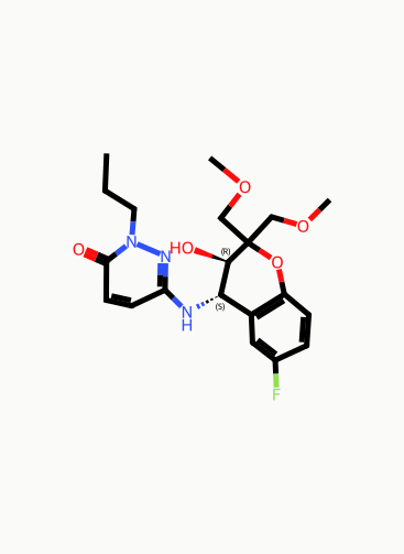 CCCn1nc(N[C@H]2c3cc(F)ccc3OC(COC)(COC)[C@@H]2O)ccc1=O